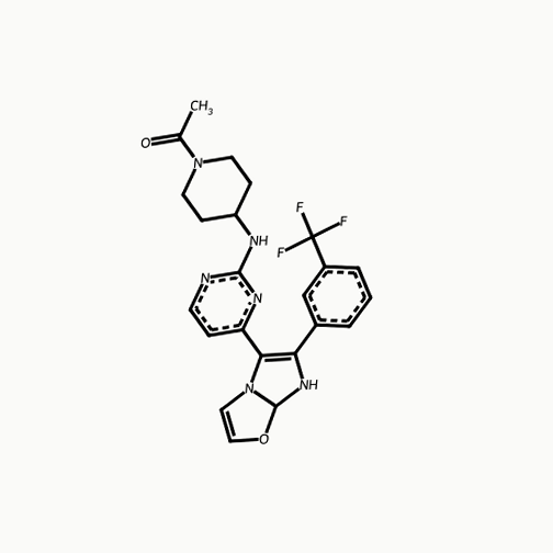 CC(=O)N1CCC(Nc2nccc(C3=C(c4cccc(C(F)(F)F)c4)NC4OC=CN34)n2)CC1